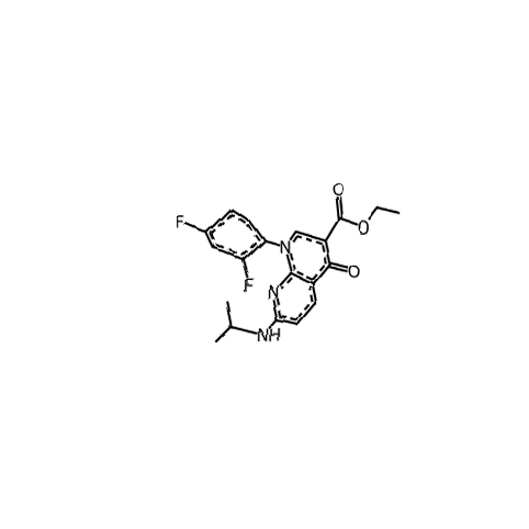 CCOC(=O)c1cn(-c2ccc(F)cc2F)c2nc(NC(C)C)ccc2c1=O